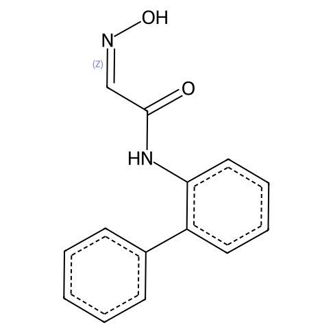 O=C(/C=N\O)Nc1ccccc1-c1ccccc1